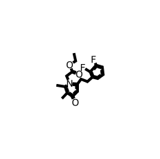 CCOC(=O)Cn1c(CCc2cccc(F)c2F)cc(=O)c(C)c1C